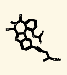 CCC1c2nc3ccc(C#CCC(C)OC)cc3n2-c2c(OC(F)F)cccc2C(=O)N1C